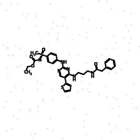 CCOC(=O)N=S(C)(=O)c1ccc(Nc2ncc(-c3cccs3)c(NCCCNC(=O)Cc3ccccc3)n2)cc1